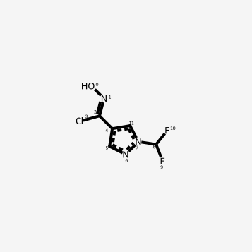 ON=C(Cl)c1cnn(C(F)F)c1